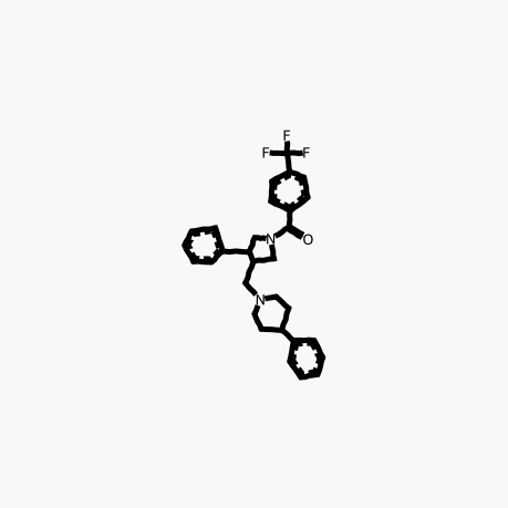 O=C(c1ccc(C(F)(F)F)cc1)N1CC(CN2CCC(c3ccccc3)CC2)C(c2ccccc2)C1